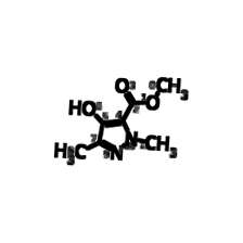 COC(=O)c1c(O)c(C)nn1C